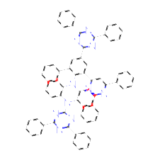 c1ccc(-c2cc(-c3cc(-c4nc(-c5ccccc5)nc(-c5ccccc5)n4)cc(-c4ccccc4)c3N3c4ccccc4N(c4nc(-c5ccccc5)nc(-c5ccccc5)n4)c4ccccc43)nc(-c3ccccc3)n2)cc1